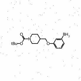 Bc1cccc(OCC2CCN(C(=O)OC(C)(C)C)CC2)c1